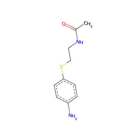 CC(=O)NCCSc1ccc(N)cc1